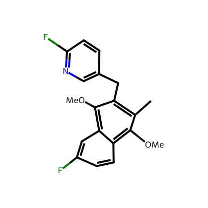 COc1c(C)c(Cc2ccc(F)nc2)c(OC)c2cc(F)ccc12